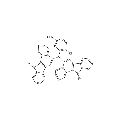 CCn1c2ccccc2c2cc(C(c3cc([N+](=O)[O-])ccc3Cl)c3cc4c5ccccc5n(CC)c4c4ccccc34)c3ccccc3c21